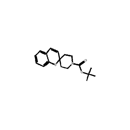 CC(C)(C)OC(=O)N1CCC2(C=Cc3ccccc3O2)CC1